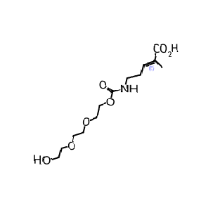 C/C(=C\CCNC(=O)OCCOCCOCCO)C(=O)O